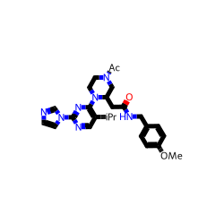 COc1ccc(CNC(=O)CC2CN(C(C)=O)CCN2c2nc(-n3ccnc3)ncc2C(C)C)cc1